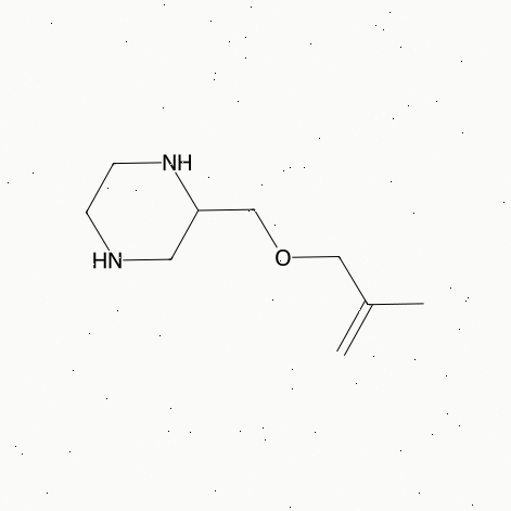 C=C(C)COCC1CNCCN1